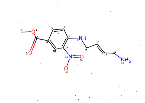 COC(=O)c1ccc(NC/C=C/CN)c([N+](=O)[O-])c1